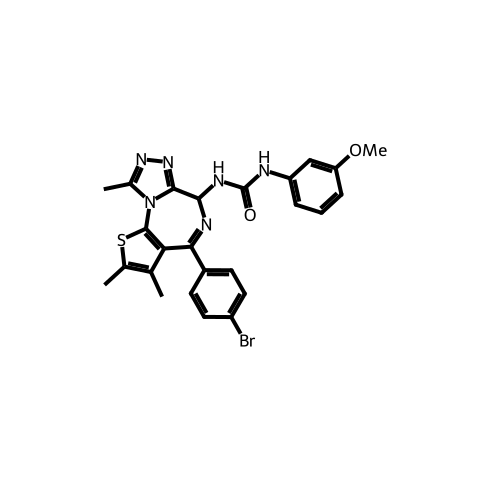 COc1cccc(NC(=O)NC2N=C(c3ccc(Br)cc3)c3c(sc(C)c3C)-n3c(C)nnc32)c1